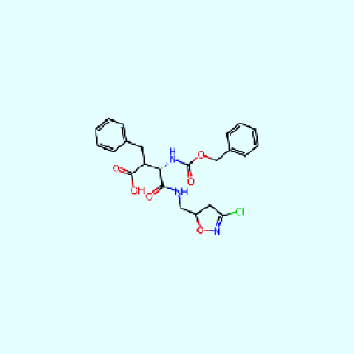 O=C(N[C@H](C(=O)NCC1CC(Cl)=NO1)C(Cc1ccccc1)C(=O)O)OCc1ccccc1